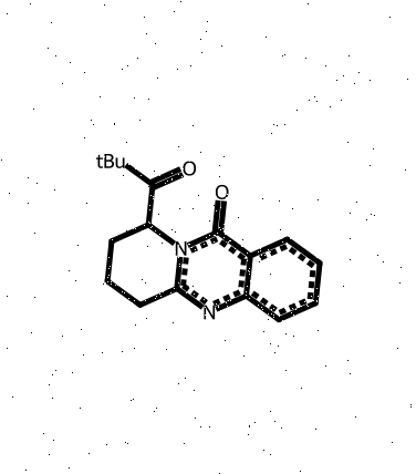 CC(C)(C)C(=O)C1CCCc2nc3ccccc3c(=O)n21